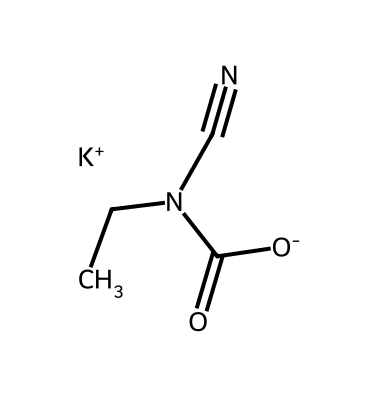 CCN(C#N)C(=O)[O-].[K+]